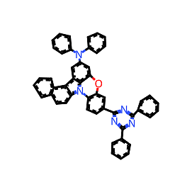 c1ccc(-c2nc(-c3ccccc3)nc(-c3ccc4c(c3)Oc3cc(N(c5ccccc5)c5ccccc5)cc5c6c7ccccc7ccc6n-4c35)n2)cc1